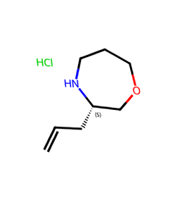 C=CC[C@H]1COCCCN1.Cl